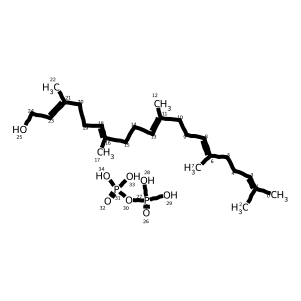 CC(C)=CCC/C(C)=C/CCC(C)=CCCC(C)=CCCC(C)=CCO.O=P(O)(O)OP(=O)(O)O